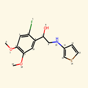 COc1cc(F)c(C(O)CNc2ccsc2)cc1OC